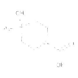 [2H]C1(O)CCN(C(=O)O)CC1